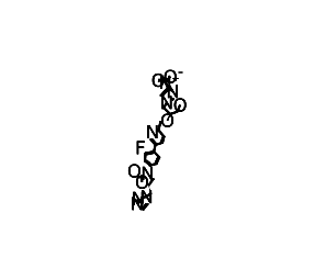 O=C1O[C@@H](Cn2ccnn2)CN1c1ccc(-c2ccc(CO[C@@H]3COc4nc([N+](=O)[O-])cn4C3)nc2)c(F)c1